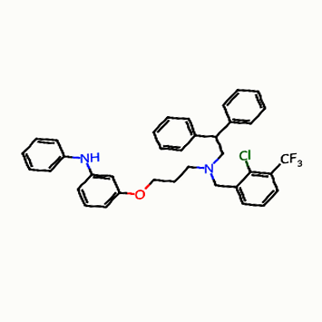 FC(F)(F)c1cccc(CN(CCCOc2cccc(Nc3ccccc3)c2)CC(c2ccccc2)c2ccccc2)c1Cl